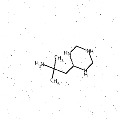 CC(C)(N)CC1NCNCN1